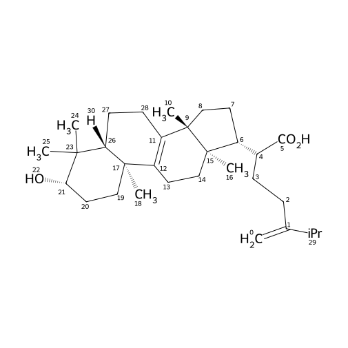 C=C(CCC(C(=O)O)[C@H]1CC[C@@]2(C)C3=C(CC[C@]12C)[C@@]1(C)CC[C@H](O)C(C)(C)[C@@H]1CC3)C(C)C